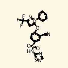 N#Cc1cc(S(=O)(=O)Nc2ncns2)ccc1Oc1cc(C(F)(F)F)nn1-c1ccccc1